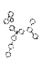 c1ccc(-c2ccc(-c3ccc(N(c4ccc(-c5cc(-c6ccccc6)cc(-c6ccccc6)c5)cc4)c4ccc(-c5cccc6c5oc5ccccc56)cc4)cc3)cc2)cc1